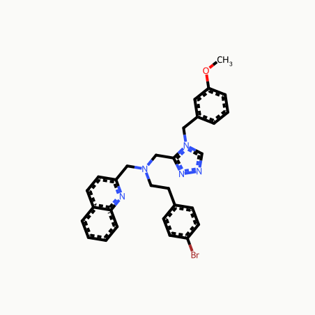 COc1cccc(Cn2cnnc2CN(CCc2ccc(Br)cc2)Cc2ccc3ccccc3n2)c1